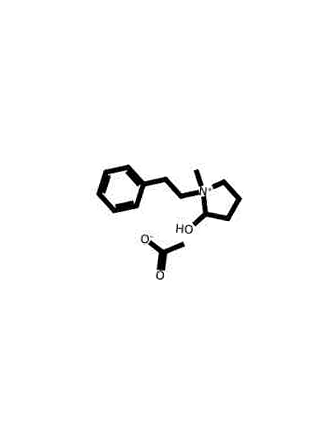 CC(=O)[O-].C[N+]1(CCc2ccccc2)CCCC1O